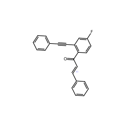 O=C(/C=C/c1ccccc1)c1ccc(F)cc1C#Cc1ccccc1